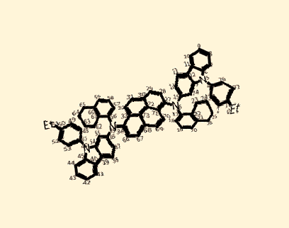 CCc1ccc(-n2c3ccccc3c3ccc(N(c4cccc5c4CCCC5)c4ccc5ccc6c(N(c7ccc8c9ccccc9n(-c9ccc(CC)cc9)c8c7)c7cccc8c7CCCC8)ccc7ccc4c5c76)cc32)cc1